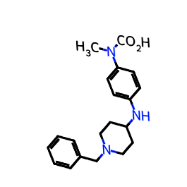 CN(C(=O)O)c1ccc(NC2CCN(Cc3ccccc3)CC2)cc1